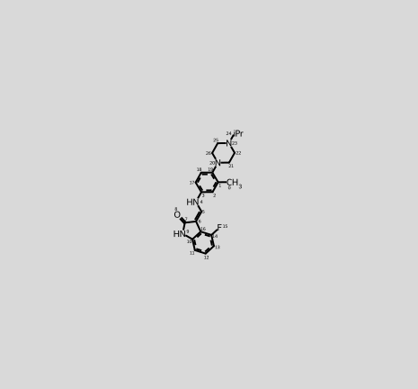 Cc1cc(NC=C2C(=O)Nc3cccc(F)c32)ccc1N1CCN(C(C)C)CC1